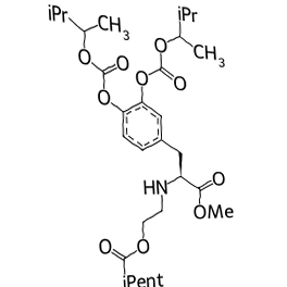 CCCC(C)C(=O)OCCN[C@@H](Cc1ccc(OC(=O)OC(C)C(C)C)c(OC(=O)OC(C)C(C)C)c1)C(=O)OC